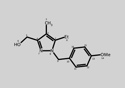 CCc1c(C)c(CO)nn1Cc1ccc(OC)cc1